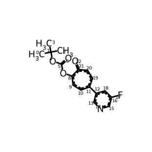 CC(C)(C)OC(=O)Oc1ccc(-c2cncc(F)c2)ccc1=O